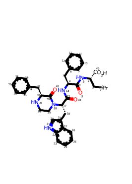 CC(C)C[C@H](NC(=O)[C@H](Cc1ccccc1)NC(=O)[C@H](Cc1c[nH]c2ccccc12)N1CCN[C@@H](Cc2ccccc2)C1=O)C(=O)O